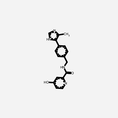 Cc1nc[nH]c1-c1ccc(CNC(=O)c2cc(O)ccn2)cc1